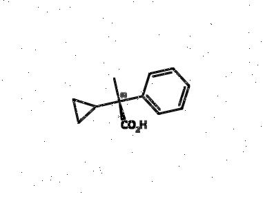 C[C@](C(=O)O)(c1ccccc1)C1CC1